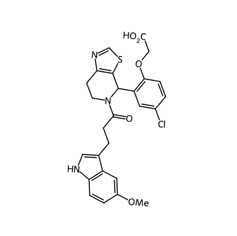 COc1ccc2[nH]cc(CCC(=O)N3CCc4ncsc4C3c3cc(Cl)ccc3OCC(=O)O)c2c1